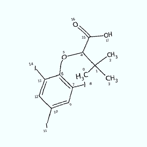 CC(C)(C)C(Oc1c(I)cc(I)cc1I)C(=O)O